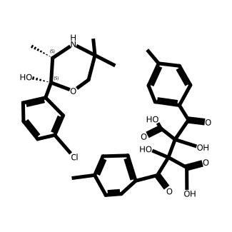 C[C@@H]1NC(C)(C)CO[C@@]1(O)c1cccc(Cl)c1.Cc1ccc(C(=O)C(O)(C(=O)O)C(O)(C(=O)O)C(=O)c2ccc(C)cc2)cc1